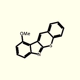 COc1cccc2nc3sc4ccccc4cc-3c12